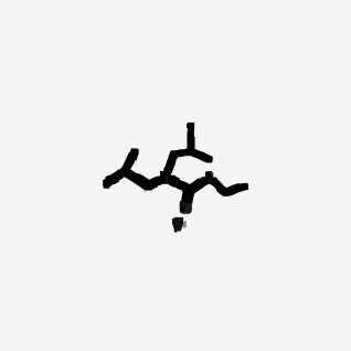 CCSC(=O)N(CC(C)C)CC(C)C.[V]